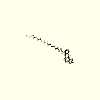 CCCCCCCCCCCCCCCCCCOc1cccc2cc(-c3nnn[nH]3)c(=O)oc12